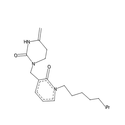 C=C1CCN(Cc2cccn(CCCCCC(C)C)c2=O)C(=O)N1